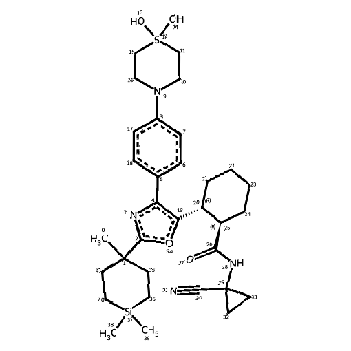 CC1(c2nc(-c3ccc(N4CCS(O)(O)CC4)cc3)c([C@@H]3CCCC[C@H]3C(=O)NC3(C#N)CC3)o2)CC[Si](C)(C)CC1